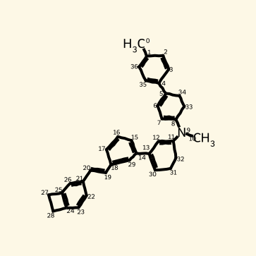 Cc1ccc(C2=CC=C(N(C)C3=CC(c4cccc(/C=C/c5ccc6c(c5)CC6)c4)=CCC3)CC2)cc1